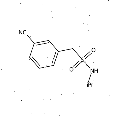 CC(C)NS(=O)(=O)Cc1cccc(C#N)c1